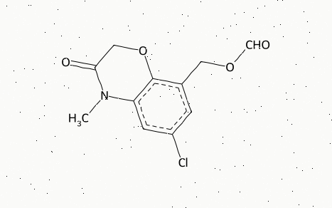 CN1C(=O)COc2c(COC=O)cc(Cl)cc21